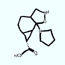 O=C(O)[C@@H]1C2CCC3CNOC3(N3CCCC3)C21